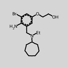 CCN(Cc1cc(OCCO)cc(Br)c1N)C1CCCCCC1